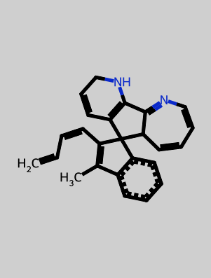 C=C/C=C\C1=C(C)c2ccccc2C12C1=C(NCC=C1)C1=NC=CC=CC12